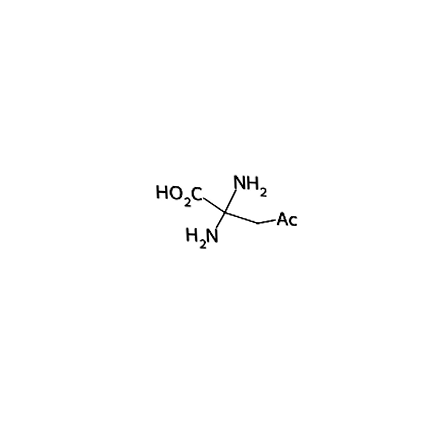 CC(=O)CC(N)(N)C(=O)O